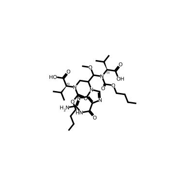 CCCCOC(=O)N(CC(C(OC)N(C(=O)OCCCC)[C@H](C(=O)O)C(C)C)n1cnc2c(=O)[nH]c(N)nc21)[C@H](C(=O)O)C(C)C